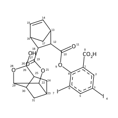 O=C(O)c1cc(I)cc(I)c1OC(=O)C1C2C=CC(C2)C1C(=O)OC1C2CC3C(O)OC1C3C2